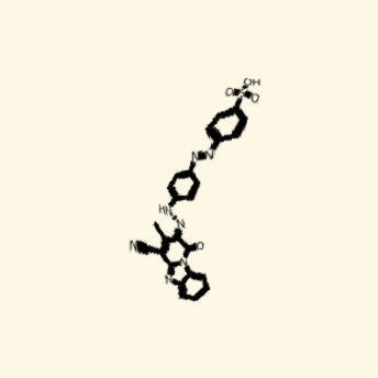 CC1=C(C#N)c2nc3ccccc3n2C(=O)/C1=N/Nc1ccc(N=Nc2ccc(S(=O)(=O)O)cc2)cc1